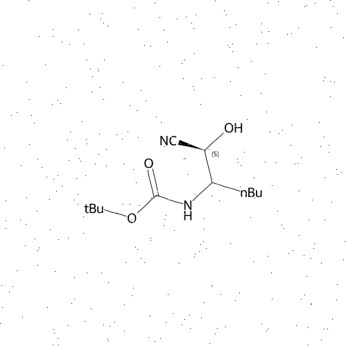 CCCCC(NC(=O)OC(C)(C)C)[C@H](O)C#N